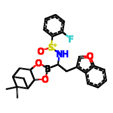 CC1(C)C2CC3OB(C(Cc4coc5ccccc45)N[S+]([O-])c4ccccc4F)OC3C1C2